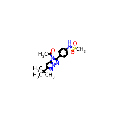 CC(=O)n1c(-c2ccc(NS(C)(=O)=O)cc2)nn2nc(C(C)(C)C)cc12